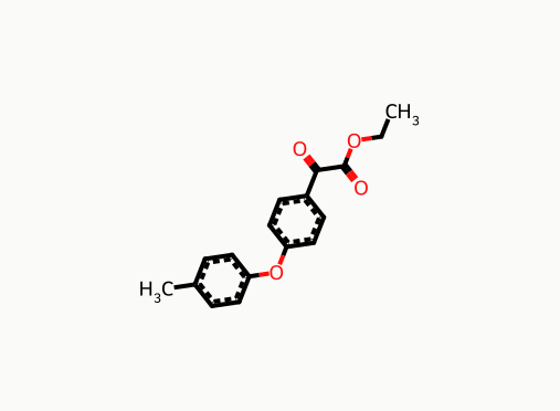 CCOC(=O)C(=O)c1ccc(Oc2ccc(C)cc2)cc1